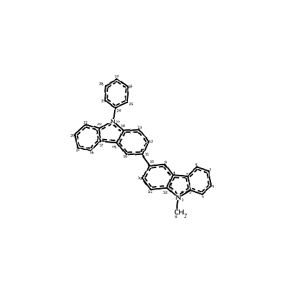 Cn1c2ccccc2c2cc(-c3ccc4c(c3)c3ccccc3n4-c3ccccc3)ccc21